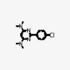 CN(C)c1cc(N(C)C)nc(-c2ccc(Cl)cc2)n1